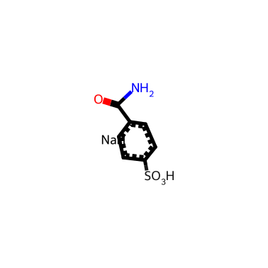 NC(=O)c1ccc(S(=O)(=O)O)cc1.[NaH]